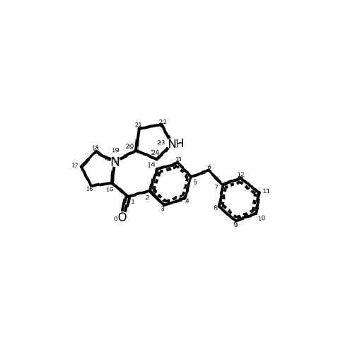 O=C(c1ccc(Cc2ccccc2)cc1)C1CCCN1C1CCNC1